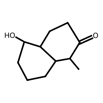 CC1C(=O)CCC2C(O)CCCC12